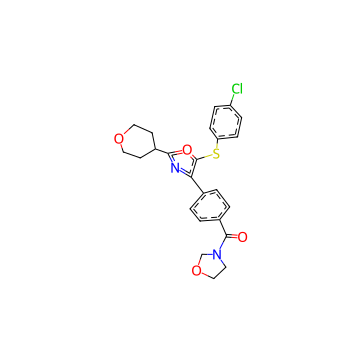 O=C(c1ccc(-c2nc(C3CCOCC3)oc2Sc2ccc(Cl)cc2)cc1)N1CCOC1